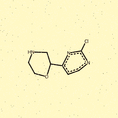 Clc1nccc(C2CNCCO2)n1